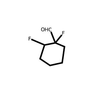 O=CC1(F)CCCCC1F